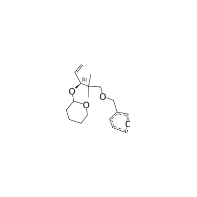 C=C[C@H](OC1CCCCO1)C(C)(C)COCc1ccccc1